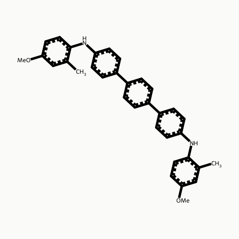 COc1ccc(Nc2ccc(-c3ccc(-c4ccc(Nc5ccc(OC)cc5C)cc4)cc3)cc2)c(C)c1